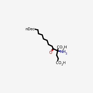 CCCCCCCCCCCCCCCCCC(=O)C(N)(CCC(=O)O)C(=O)O